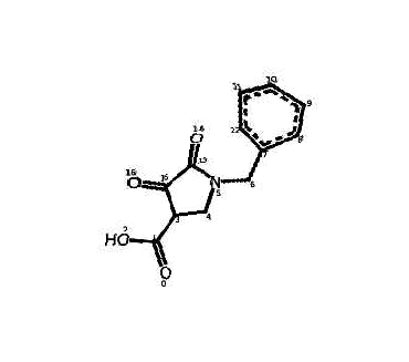 O=C(O)C1CN(Cc2ccccc2)C(=O)C1=O